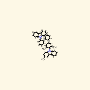 N#Cc1ccc2c(c1)c1ccccc1n2-c1c(C#N)cc(-c2ccccc2-c2ccccc2-n2c3ccccc3c3ccccc32)cc1C#N